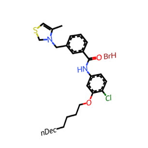 Br.CCCCCCCCCCCCCCOc1cc(NC(=O)c2cccc(CN3CSC=C3C)c2)ccc1Cl